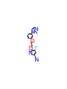 Cc1nccn1-c1cccc(OCCOc2ncc(C#N)cc2F)c1